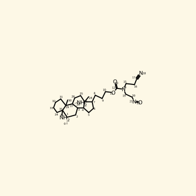 C[C@H]1CC2C3CCC(CCCOC(=O)N(CCC#N)CCN=O)C3(C)CC[C@]2(N)C2(C)CCCCC12N